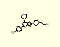 Nc1ncc(-c2nc(N3CCOCC3)c3sc(N4CCN(CCO)CC4)nc3n2)cn1